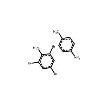 Cc1ccc(N)cc1.Nc1c(Br)cc(Br)cc1Br